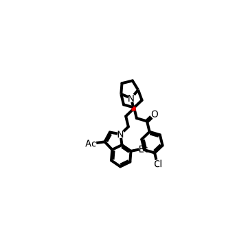 CCc1cccc2c(C(C)=O)cn(CCCN3C4CCC3CC(CC(=O)c3ccc(Cl)cc3)C4)c12